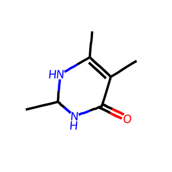 CC1=C(C)C(=O)NC(C)N1